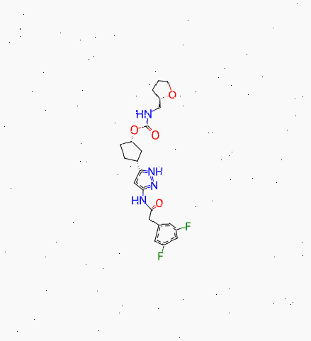 O=C(Cc1cc(F)cc(F)c1)Nc1cc([C@@H]2CC[C@H](OC(=O)NC[C@H]3CCCO3)C2)[nH]n1